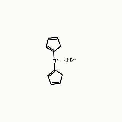 C1=CC[C]([Ti+2][C]2=CC=CC2)=C1.[Br-].[Cl-]